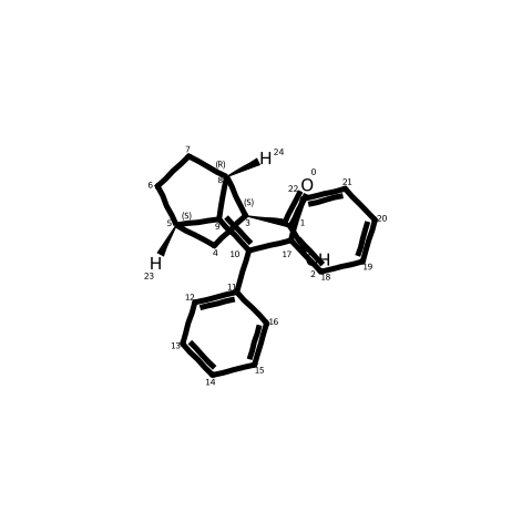 O=C(O)[C@H]1C[C@@H]2CC[C@H]1C2=C(c1ccccc1)c1ccccc1